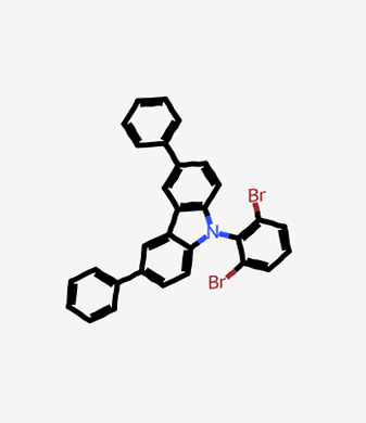 Brc1cccc(Br)c1-n1c2ccc(-c3ccccc3)cc2c2cc(-c3ccccc3)ccc21